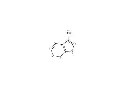 Cc1csc2c1C=CCC2